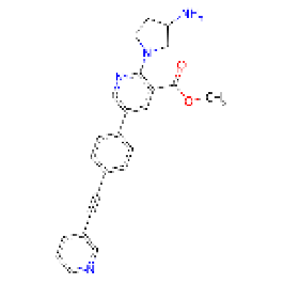 COC(=O)c1cc(-c2ccc(C#Cc3cccnc3)cc2)cnc1N1CCC(N)C1